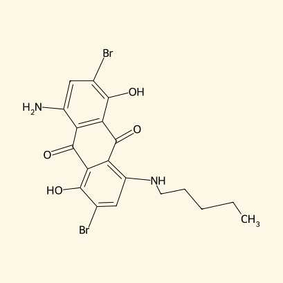 CCCCCNc1cc(Br)c(O)c2c1C(=O)c1c(O)c(Br)cc(N)c1C2=O